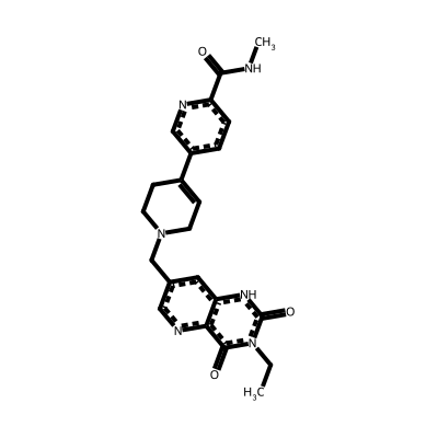 CCn1c(=O)[nH]c2cc(CN3CC=C(c4ccc(C(=O)NC)nc4)CC3)cnc2c1=O